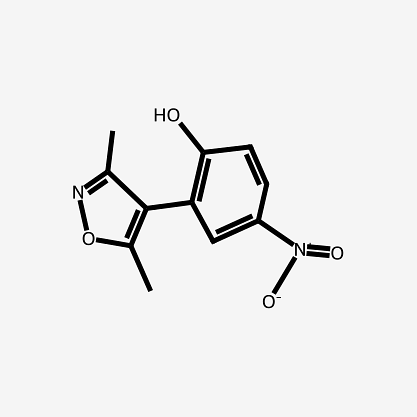 Cc1noc(C)c1-c1cc([N+](=O)[O-])ccc1O